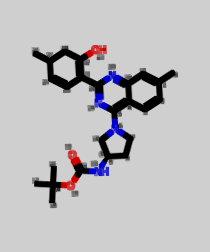 Cc1ccc2c(N3CC[C@@H](NC(=O)OC(C)(C)C)C3)nc(C3=C(O)CC(C)C=C3)nc2c1